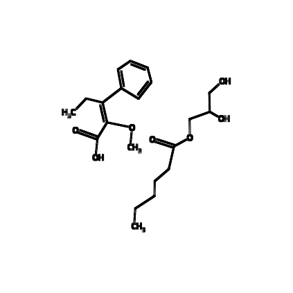 CCC(=C(OC)C(=O)O)c1ccccc1.CCCCCC(=O)OCC(O)CO